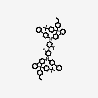 C=Cc1ccc(C2(c3ccc(C(C)(C)C)cc3)c3ccccc3-c3ccc(N(c4ccc(-c5ccccc5)cc4)c4ccc(-c5ccc(N(c6ccc(-c7ccccc7)cc6)c6ccc7c(c6)C(c6ccc(C=C)cc6)(c6ccc(C(C)(C)C)cc6)c6ccccc6-7)cc5F)c(F)c4)cc32)cc1